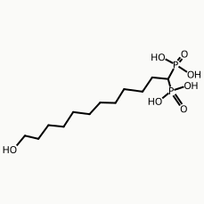 O=P(O)(O)C(CCCCCCCCCCCO)P(=O)(O)O